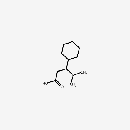 CN(C)[C@@H](CC(=O)O)C1CCCCC1